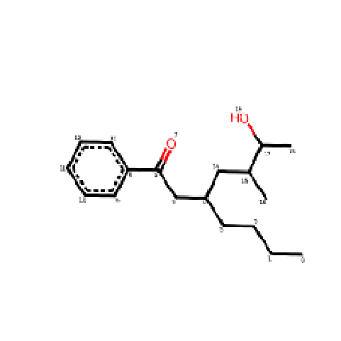 CCCCC(CC(=O)c1ccccc1)CC(C)C(C)O